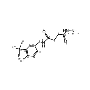 NNC(=O)CCC(=O)NCc1ccc(F)c(C(F)(F)F)c1